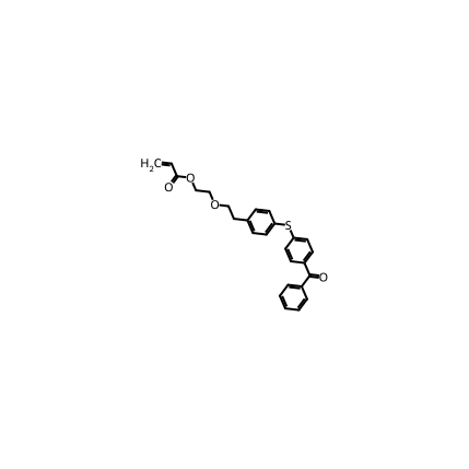 C=CC(=O)OCCOCCc1ccc(Sc2ccc(C(=O)c3ccccc3)cc2)cc1